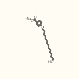 CC(C)(C)OC(=O)c1ccc(OCCCCCCCCCCCCCCO)cc1